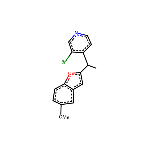 COc1ccc2oc(C(C)c3ccncc3Br)cc2c1